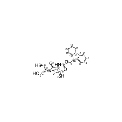 CC(C)(S)[C@H](NC(=O)OCC1c2ccccc2-c2ccccc21)C(=O)N[C@@H](CS)C(=O)O